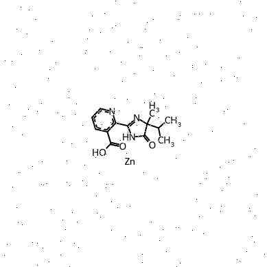 CC(C)C1(C)N=C(c2ncccc2C(=O)O)NC1=O.[Zn]